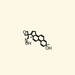 C[C@@]1(O)C=Cc2c3c(ccc2=C1)=C1CC=C(C2(C=NO)COC2)[C@@]1(C)C=C3